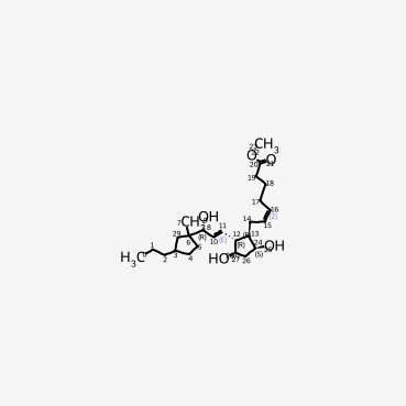 CCCC1CCC(C)([C@H](O)/C=C/[C@@H]2[C@@H](C/C=C\CCCC(=O)OC)[C@@H](O)C[C@H]2O)C1